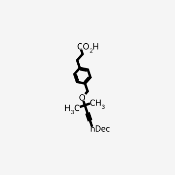 CCCCCCCCCCC#CC(C)(C)OCc1ccc(CCC(=O)O)cc1